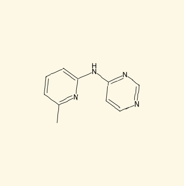 Cc1cccc(Nc2ccncn2)n1